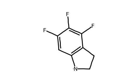 Fc1cc2c(c(F)c1F)CC[N]2